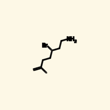 C=C(C)CCC(Br)CCN